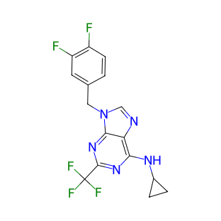 Fc1ccc(Cn2cnc3c(NC4CC4)nc(C(F)(F)F)nc32)cc1F